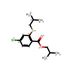 CC(C)COC(=O)c1ccc(Br)cc1SCC(C)C